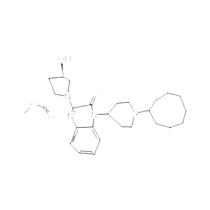 COC(=O)[C@@H]1C[C@@H](O)CN1c1nc2ccccc2n(C2CCN(C3CCCCCCC3)CC2)c1=O